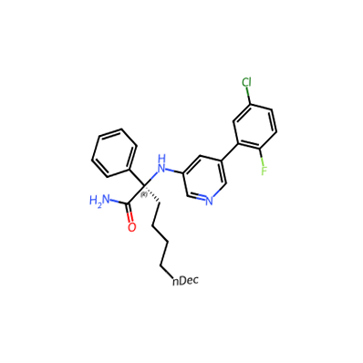 CCCCCCCCCCCCCC[C@](Nc1cncc(-c2cc(Cl)ccc2F)c1)(C(N)=O)c1ccccc1